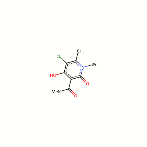 CNC(=O)c1c(O)c(Cl)c(C)n(C(C)C)c1=O